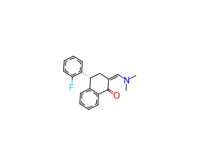 CN(C)/C=C1/C[C@@H](c2ccccc2F)c2ccccc2C1=O